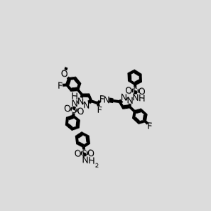 COc1ccc(-c2cc(C(F)F)nn2NS(=O)(=O)c2ccccc2)cc1F.N#Cc1cc(-c2ccc(F)cc2)n(NS(=O)(=O)c2ccccc2)n1.NS(=O)(=O)c1ccccc1